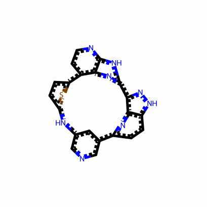 c1cc2c3ccc([nH]c4cncc(c4)c4ccc5[nH]nc(c6nc2c(n1)[nH]6)c5n4)s3